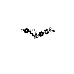 CCOC(=O)N1CCN(c2ccc(-n3cnn(CCCC(O)c4ccc(Cl)cc4)c3=O)cc2)CC1